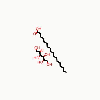 CCCCCCCCCCCCCCCCCC(=O)O.O=C(CO)C(O)C(O)C(O)CO